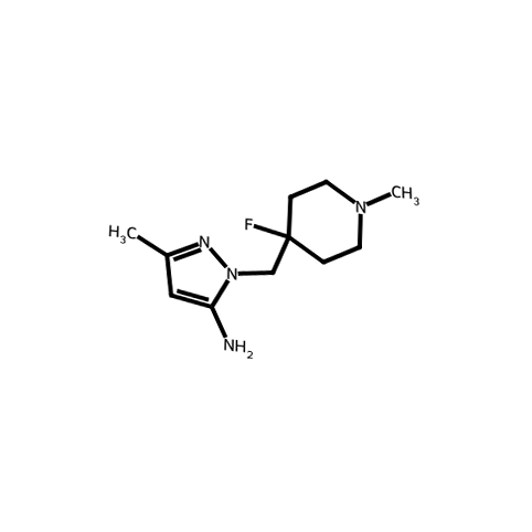 Cc1cc(N)n(CC2(F)CCN(C)CC2)n1